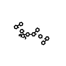 N#Cc1ccc2c(c1)c1cc(-c3ccc4c(c3)Oc3cc(-n5c6ccccc6c6ccccc65)ccc3C43c4cccnc4-c4ncccc43)ccc1n2-c1ccc(-n2c3ccccc3c3ccccc32)cc1